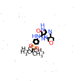 CC(C)C(C)(C)S(=O)(=O)c1ccc(Nc2nn([C@H]3COCCC3C#N)c3cc[nH]c(=O)c23)cc1